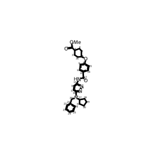 COC(=O)C1CCC(Oc2ccc(C(=O)Nc3ccc(N(Cc4ccccc4)C4CCCC4)nn3)cc2)CC1